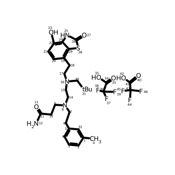 Cc1cccc(CCN(CCC(N)=O)CCN(CCc2ccc(O)c3[nH]c(=O)sc23)CC(C)(C)C)c1.O=C(O)C(F)(F)F.O=C(O)C(F)(F)F